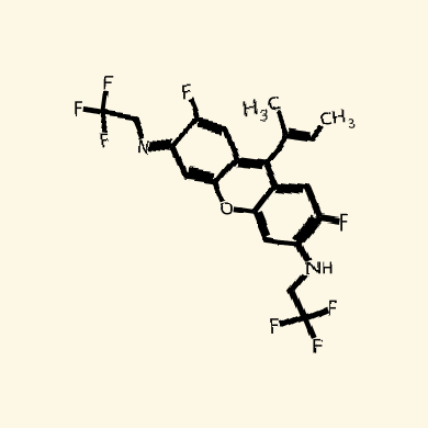 C/C=C(\C)c1c2cc(F)/c(=N\CC(F)(F)F)cc-2oc2cc(NCC(F)(F)F)c(F)cc12